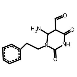 NC1C(C=O)C(=O)NC(=O)N1CCc1ccccc1